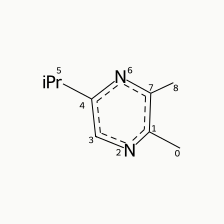 Cc1ncc(C(C)C)nc1C